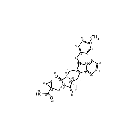 Cc1ccc(Cn2c3c(c4ccccc42)C[C@H]2C(=O)N(CC4(C(=O)O)CC4)C(=O)N2C3)cn1